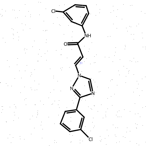 O=C(/C=C/n1cnc(-c2cccc(Cl)c2)n1)Nc1cccc(Cl)c1